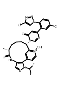 C[C@@H]1CCC[C@H](n2cnc(-c3cc(Cl)ccc3-n3cc(Cl)nn3)cc2=O)c2cc(cc[n+]2O)-c2c(cnn2C(F)F)NC1=O